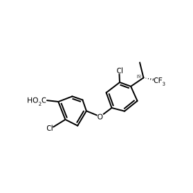 C[C@@H](c1ccc(Oc2ccc(C(=O)O)c(Cl)c2)cc1Cl)C(F)(F)F